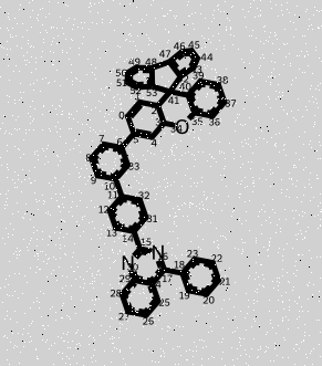 C1=CC2C(C=C1c1cccc(-c3ccc(-c4nc(-c5ccccc5)c5ccccc5n4)cc3)c1)Oc1ccccc1C21c2ccccc2-c2ccccc21